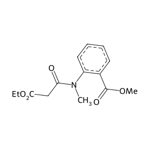 CCOC(=O)CC(=O)N(C)c1ccccc1C(=O)OC